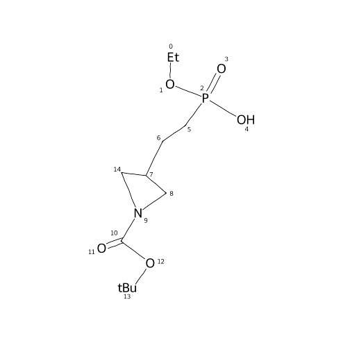 CCOP(=O)(O)CCC1CN(C(=O)OC(C)(C)C)C1